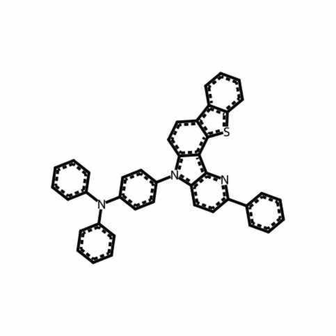 c1ccc(-c2ccc3c(n2)c2c4sc5ccccc5c4ccc2n3-c2ccc(N(c3ccccc3)c3ccccc3)cc2)cc1